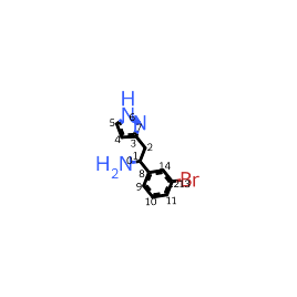 NC(Cc1cc[nH]n1)c1cccc(Br)c1